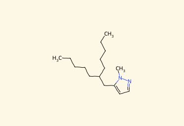 CCCCCC(CCCCC)Cc1ccnn1C